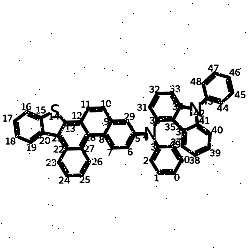 c1ccc(N(c2ccc3c(ccc4c5sc6ccccc6c5c5ccccc5c34)c2)c2cccc3c2c2ccccc2n3-c2ccccc2)cc1